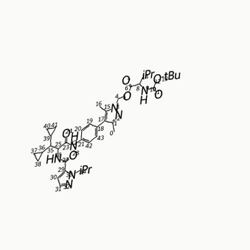 Cc1nn(COC(=O)C(NC(=O)OC(C)(C)C)C(C)C)c(C)c1-c1ccc(NC(=O)C(NC(=O)c2ccnn2C(C)C)C(C2CC2)C2CC2)cc1